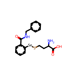 NC(CCS[Se]c1ccccc1C(=O)NCc1ccccc1)C(=O)O